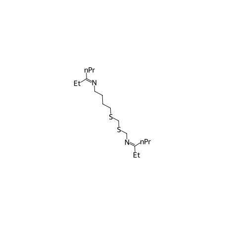 CCCC(CC)=NCCCCSCSCN=C(CC)CCC